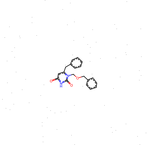 O=c1cc(Cc2ccccc2)n(COCc2ccccc2)c(=O)[nH]1